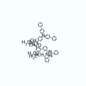 C[Si](C)(C)c1cc(-c2ccc(N(c3ccc(-c4ccccc4)cc3)c3ccc(-c4ccccc4)cc3)cc2)c2oc3c(-c4cccc(-c5nc(-c6ccccc6)nc(-c6ccccc6)n5)c4)cc([Si](C)(C)C)cc3c2c1